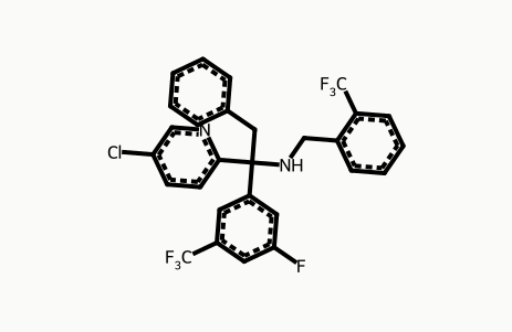 Fc1cc(C(F)(F)F)cc(C(Cc2ccccc2)(NCc2ccccc2C(F)(F)F)c2ccc(Cl)cn2)c1